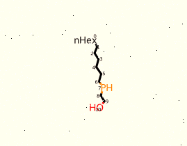 CCCCCCCCCCCCPCCO